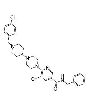 O=C(NCc1ccccc1)c1cnc(N2CCN(C3CCN(Cc4ccc(Cl)cc4)CC3)CC2)c(Cl)c1